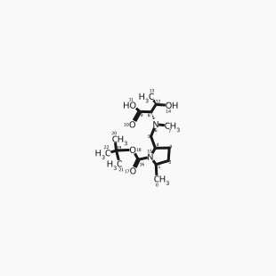 CC1CCC(CN(C)[C@H](C(=O)O)[C@@H](C)O)N1C(=O)OC(C)(C)C